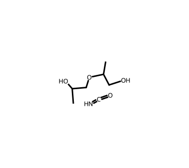 CC(O)COC(C)CO.N=C=O